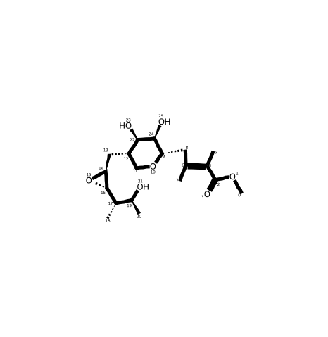 COC(=O)/C(C)=C(\C)C[C@@H]1OC[C@H](C[C@@H]2O[C@H]2[C@@H](C)[C@H](C)O)[C@@H](O)[C@H]1O